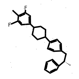 Cc1c(F)cc(C2CCC(c3ccc(C[C@H](C)c4ccccc4)cc3)CC2)cc1F